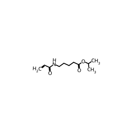 C=CC(=O)NCCCCC(=O)OC(C)C